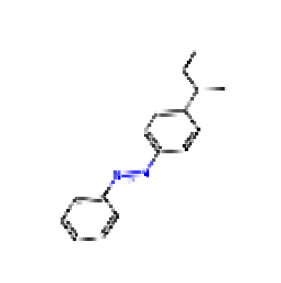 CCC(C)c1ccc(/N=N/c2ccccc2)cc1